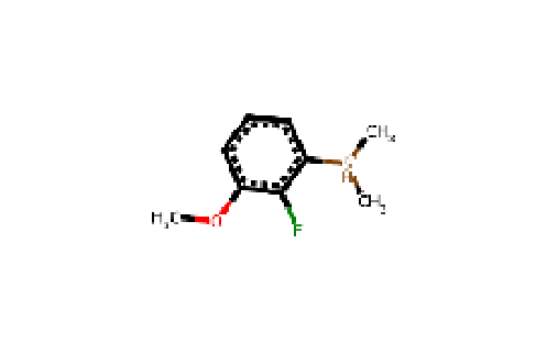 COc1cccc([SH](C)C)c1F